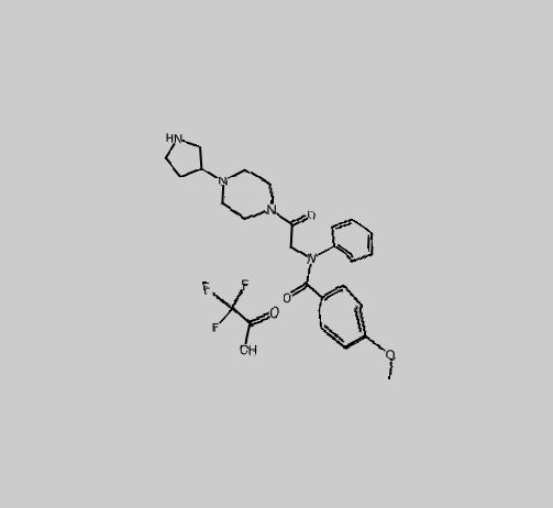 COc1ccc(C(=O)N(CC(=O)N2CCN(C3CCNC3)CC2)c2ccccc2)cc1.O=C(O)C(F)(F)F